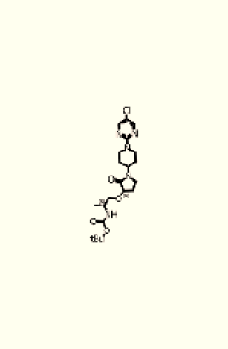 C[C@@H](CO[C@@H]1CCN(C2CCN(c3ncc(Cl)cn3)CC2)C1=O)NC(=O)OC(C)(C)C